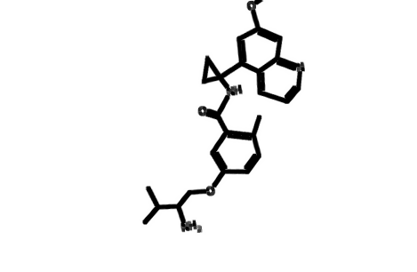 COc1cc(C2(NC(=O)c3cc(OCC(N)C(C)C)ccc3C)CC2)c2cccnc2c1